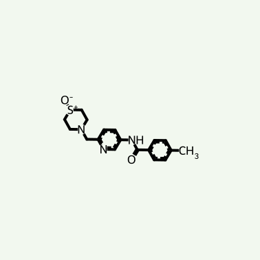 Cc1ccc(C(=O)Nc2ccc(CN3CC[S+]([O-])CC3)nc2)cc1